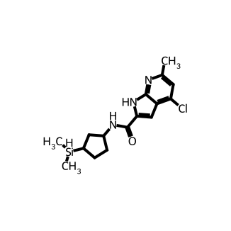 Cc1cc(Cl)c2cc(C(=O)NC3CCC([SiH](C)C)C3)[nH]c2n1